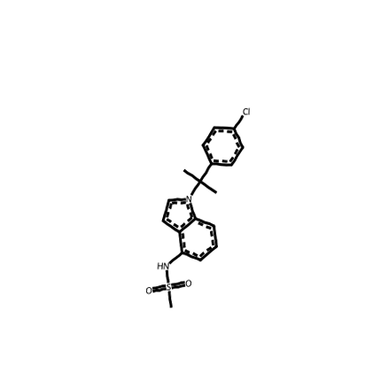 CC(C)(c1ccc(Cl)cc1)n1ccc2c(NS(C)(=O)=O)cccc21